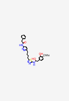 COc1ccc(CC(O)Nc2nnc(CCCCc3ccc(NC(=O)Cc4ccccc4)nn3)s2)cc1O